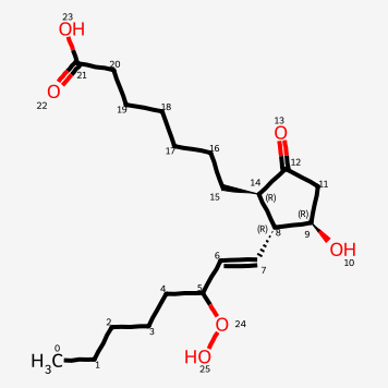 CCCCCC(C=C[C@H]1[C@H](O)CC(=O)[C@@H]1CCCCCCC(=O)O)OO